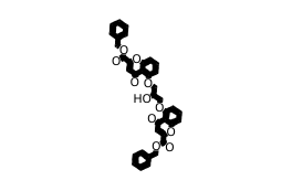 O=C(OCc1ccccc1)c1cc(=O)c2c(OCC(O)COc3cccc4oc(C(=O)OCc5ccccc5)cc(=O)c34)cccc2o1